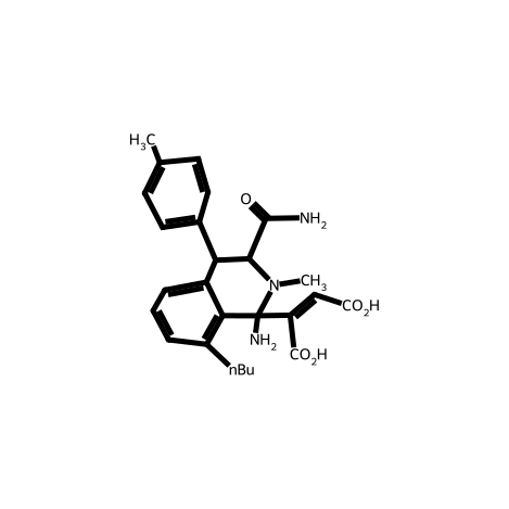 CCCCc1cccc2c1C(N)(C(=CC(=O)O)C(=O)O)N(C)C(C(N)=O)C2c1ccc(C)cc1